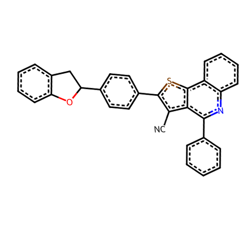 N#Cc1c(-c2ccc(C3Cc4ccccc4O3)cc2)sc2c1c(-c1ccccc1)nc1ccccc12